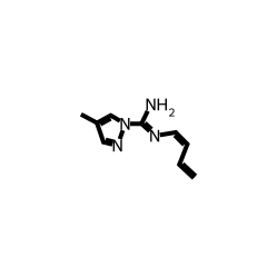 C=C/C=C\N=C(/N)n1cc(C)cn1